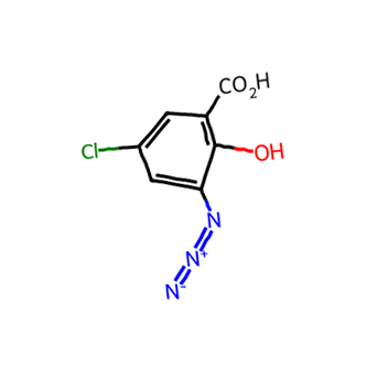 [N-]=[N+]=Nc1cc(Cl)cc(C(=O)O)c1O